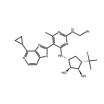 Cc1nc(NCC(C)C)nc(N[C@@H]2C[C@H](C(C)(F)F)[C@@H](O)[C@H]2O)c1-c1nc2c(C3CC3)nccc2s1